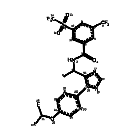 CC(NC(=O)c1cc(C(F)(F)F)cc(S(=O)(=O)C(F)(F)F)c1)c1ncnn1-c1ncc(OC(F)F)cn1